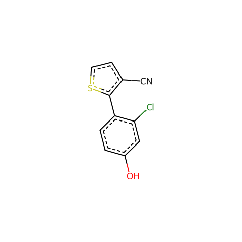 N#Cc1ccsc1-c1ccc(O)cc1Cl